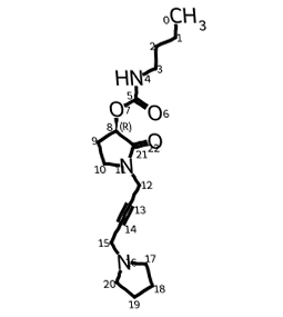 CCCCNC(=O)O[C@@H]1CCN(CC#CCN2CCCC2)C1=O